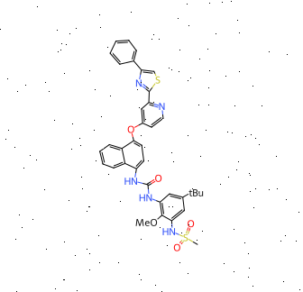 COc1c(NC(=O)Nc2ccc(Oc3ccnc(-c4nc(-c5ccccc5)cs4)c3)c3ccccc23)cc(C(C)(C)C)cc1NS(C)(=O)=O